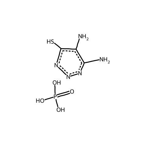 Nc1nnnc(S)c1N.O=P(O)(O)O